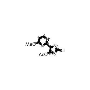 COc1ccnc(-c2nc(Cl)sc2OC(C)=O)n1